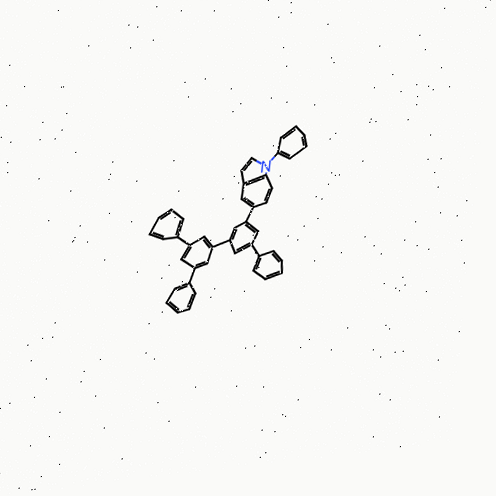 c1ccc(-c2cc(-c3ccccc3)cc(-c3cc(-c4ccccc4)cc(-c4ccc5c(ccn5-c5ccccc5)c4)c3)c2)cc1